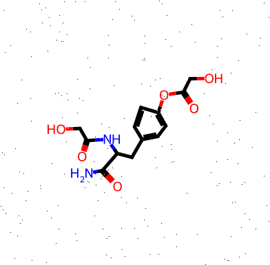 NC(=O)C(Cc1ccc(OC(=O)CO)cc1)NC(=O)CO